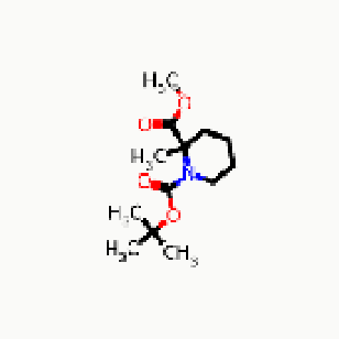 COC(=O)C1(C)CCCCN1C(=O)OC(C)(C)C